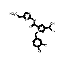 CC(C)C(O)c1cc(C(=O)Nc2nc(CC(=O)O)cs2)n(Cc2ccc(Cl)c(Cl)c2)c1